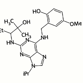 CCC(Nc1nc(NCc2cc(OC)ccc2O)c2ncn(C(C)C)c2n1)C(C)(C)O